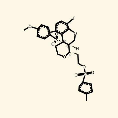 COc1ccc(S(=O)(=O)[C@@]23CCO[C@@H](CCOS(=O)(=O)c4ccc(C)cc4)[C@@H]2COc2c(F)ccc(F)c23)cc1